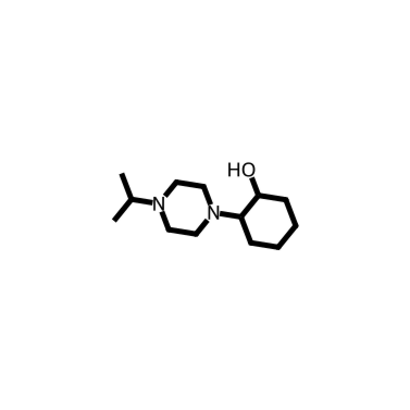 CC(C)N1CCN(C2CCCCC2O)CC1